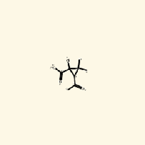 CC(=O)C1C(C)(C)C1(Cl)C(=O)O